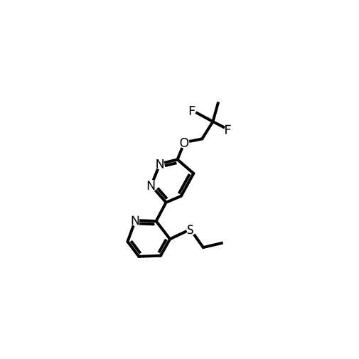 CCSc1cccnc1-c1ccc(OCC(C)(F)F)nn1